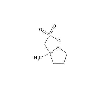 C[N+]1(CS(=O)(=O)Cl)CCCC1